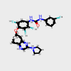 O=C(Nc1cccc(F)c1)Nc1cc(F)c(Oc2ccc3ncc(N4CCCC4)nc3c2)c(F)c1F